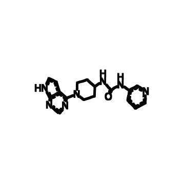 O=C(Nc1cccnc1)NC1CCN(c2ncnc3[nH]ccc23)CC1